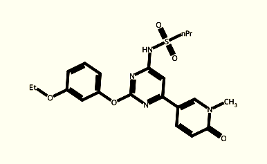 CCCS(=O)(=O)Nc1cc(-c2ccc(=O)n(C)c2)nc(Oc2cccc(OCC)c2)n1